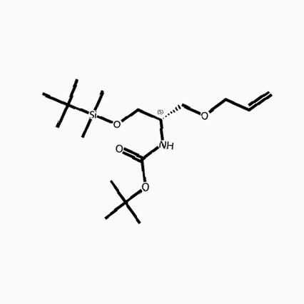 C=CCOC[C@@H](CO[Si](C)(C)C(C)(C)C)NC(=O)OC(C)(C)C